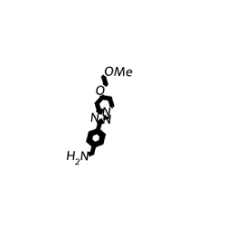 COCCOC1CCn2nc(-c3ccc(CN)cc3)nc2C1